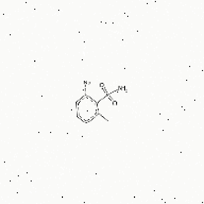 Cc1ccc[c]([Na])c1S(N)(=O)=O